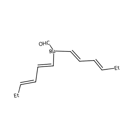 CCC=CC=[CH][Ru]([CH]=O)[CH]=CC=CCC